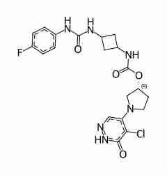 O=C(Nc1ccc(F)cc1)NC1CC(NC(=O)O[C@@H]2CCN(c3cn[nH]c(=O)c3Cl)C2)C1